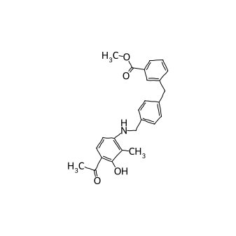 COC(=O)c1cccc(Cc2ccc(CNc3ccc(C(C)=O)c(O)c3C)cc2)c1